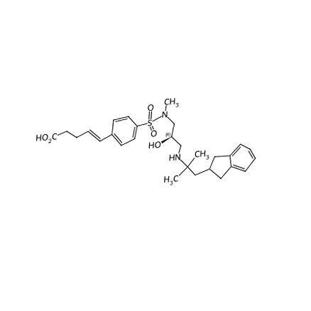 CN(C[C@H](O)CNC(C)(C)CC1Cc2ccccc2C1)S(=O)(=O)c1ccc(C=CCCC(=O)O)cc1